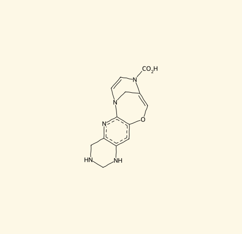 O=C(O)N1C=CN2CC1=COc1cc3c(nc12)CNCN3